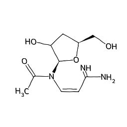 CC(=O)N(/C=C\C(=N)N)[C@@H]1O[C@H](CO)CC1O